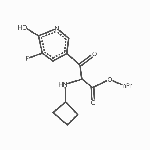 CCCOC(=O)C(NC1CCC1)C(=O)c1cnc(O)c(F)c1